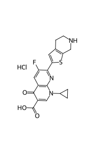 Cl.O=C(O)c1cn(C2CC2)c2nc(-c3cc4c(s3)CNCC4)c(F)cc2c1=O